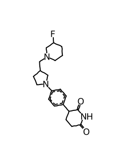 O=C1CCC(c2ccc(N3CCC(CN4CCCC(F)C4)C3)cc2)C(=O)N1